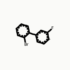 Fc1[c]ccc(-c2ccccc2Br)c1